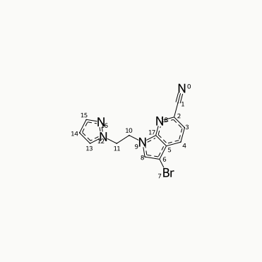 N#Cc1ccc2c(Br)cn(CCn3cccn3)c2n1